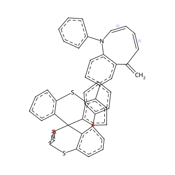 C=C1/C=C\C=C/N(c2ccccc2)c2ccc(-c3cccc4c3Sc3ccccc3C43c4ccccc4Sc4cccc(-c5ccccc5)c43)cc21